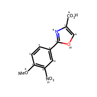 COc1ccc(-c2nc(C(=O)O)co2)cc1[N+](=O)[O-]